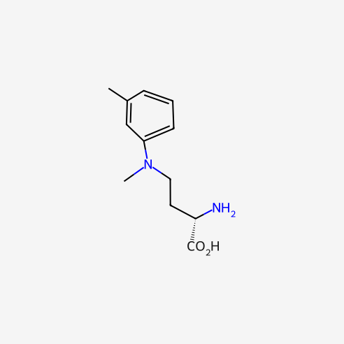 Cc1cccc(N(C)CC[C@H](N)C(=O)O)c1